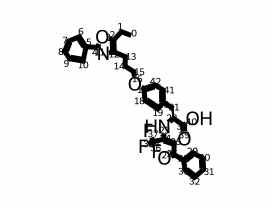 CCc1oc(-c2ccccc2)nc1CCCOc1ccc(C[C@H](N/C(=C/C(=O)c2ccccc2)C(F)(F)F)C(=O)O)cc1